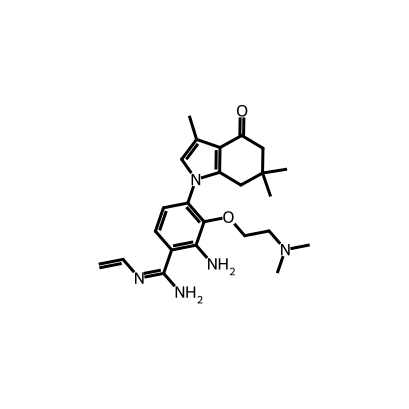 C=C/N=C(/N)c1ccc(-n2cc(C)c3c2CC(C)(C)CC3=O)c(OCCN(C)C)c1N